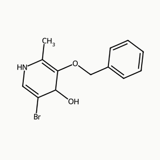 CC1=C(OCc2ccccc2)C(O)C(Br)=CN1